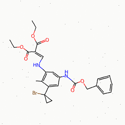 CCOC(=O)C(=CNc1cc(NC(=O)OCc2ccccc2)cc(C2(Br)CC2)c1C)C(=O)OCC